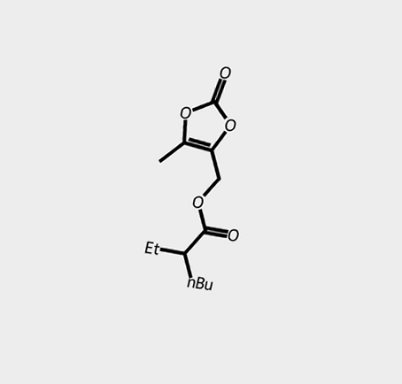 CCCCC(CC)C(=O)OCc1oc(=O)oc1C